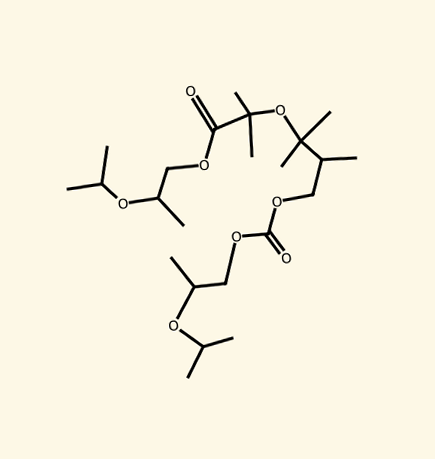 CC(C)OC(C)COC(=O)OCC(C)C(C)(C)OC(C)(C)C(=O)OCC(C)OC(C)C